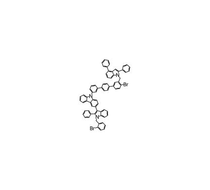 Brc1ccc(-c2ccc(-c3cccc(-n4c5ccccc5c5cc(-c6c(-c7ccccc7)n(Cc7ccccc7Br)c7ccccc67)ccc54)c3)cc2)cc1Cn1c(-c2ccccc2)cc2c(-c3ccccc3)cccc21